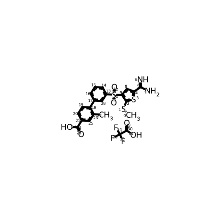 CSc1sc(C(=N)N)cc1S(=O)(=O)c1cccc(-c2ccc(C(=O)O)cc2C)c1.O=C(O)C(F)(F)F